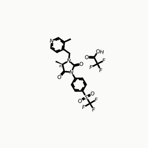 Cc1cnccc1CN1C(=O)N(c2ccc(S(=O)(=O)C(F)(F)F)cc2)C(=O)[C@H]1C.O=C(O)C(F)(F)F